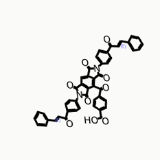 O=C(O)c1ccc(C(=O)c2c3c(=O)n(-c4ccc(C(=O)/C=C/c5ccccc5)cc4)c(=O)c3cc3c(=O)n(-c4ccc(C(=O)/C=C/c5ccccc5)cc4)c(=O)c23)cc1